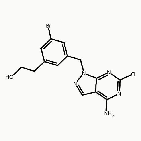 Nc1nc(Cl)nc2c1cnn2Cc1cc(Br)cc(CCO)c1